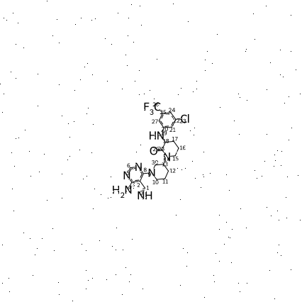 N=Cc1c(N)ncnc1N1CCCC(N2CCCC(Nc3cc(Cl)cc(C(F)(F)F)c3)C2=O)C1